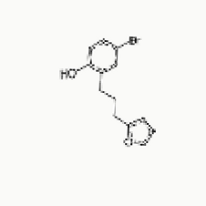 Oc1ccc(Br)cc1CCCc1ccco1